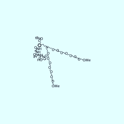 COCCOCCOCCOCCOCCOCCOCCOCCCN(CCCOCCOCCOCCOCCOCCOCCOCCOC)CCCc1cc(NC(=O)[C@H](C)NC(=O)[C@@H](NC(=O)CN2C(=O)C=CC2O)C(C)C)ccc1COC(=O)C(C)(C)C